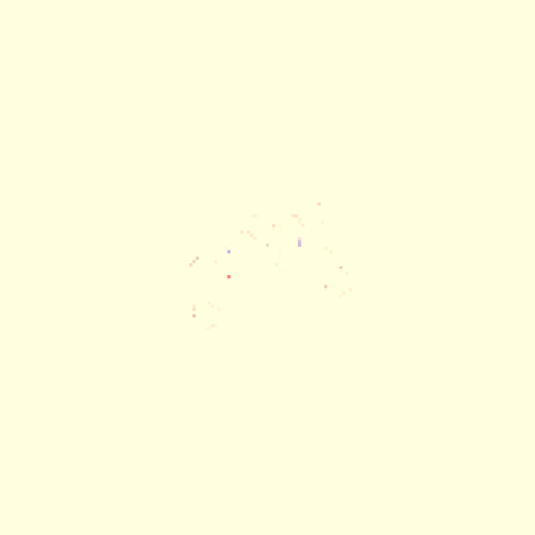 c1ccc2cc3c(cc2c1)c1ccccc1n3-c1ccc(-c2nc3ccc4oc5ccccc5c4c3o2)c2ccccc12